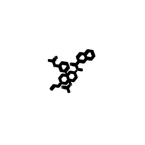 C=CCN1CC[C@@]2(c3cccc(OC(C)=O)c3)C[C@H](N(C)C(=O)c3ccc4ccccc4c3)CC[C@]2(OC(C)=O)C1